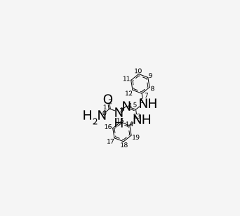 NC(=O)NN=C(Nc1ccccc1)Nc1ccccc1